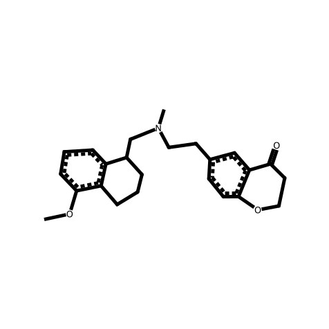 COc1cccc2c1CCCC2CN(C)CCc1ccc2c(c1)C(=O)CCO2